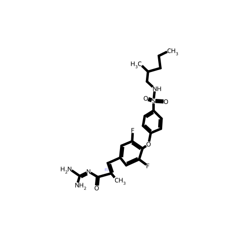 CCCC(C)CNS(=O)(=O)c1ccc(Oc2c(F)cc(/C=C(\C)C(=O)N=C(N)N)cc2F)cc1